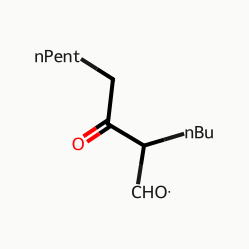 CCCCCCC(=O)C([C]=O)CCCC